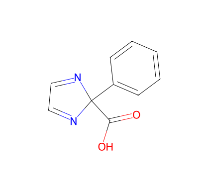 O=C(O)C1(c2ccccc2)N=CC=N1